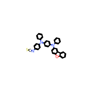 S=C=Nc1ccc(N(c2ccccc2)c2ccc(N(c3ccccc3)c3ccc4oc5ccccc5c4c3)cc2)cc1